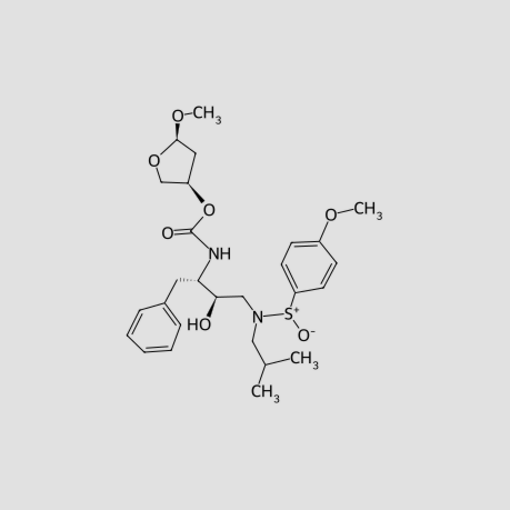 COc1ccc([S+]([O-])N(CC(C)C)C[C@@H](O)[C@H](Cc2ccccc2)NC(=O)O[C@H]2CO[C@@H](OC)C2)cc1